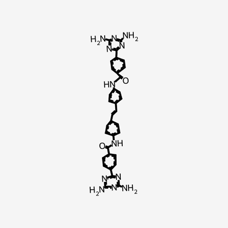 Nc1nc(N)nc(-c2ccc(C(=O)Nc3ccc(/C=C/c4ccc(NC(=O)c5ccc(-c6nc(N)nc(N)n6)cc5)cc4)cc3)cc2)n1